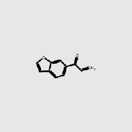 C=CC(=O)c1ccc2ccoc2c1